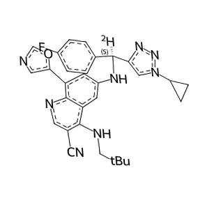 [2H][C@](Nc1cc(-c2cnco2)c2ncc(C#N)c(NCC(C)(C)C)c2c1)(c1ccc(F)cc1)c1cn(C2CC2)nn1